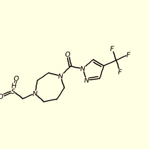 O=C(N1CCCN(C[SH](=O)=O)CC1)n1cc(C(F)(F)F)cn1